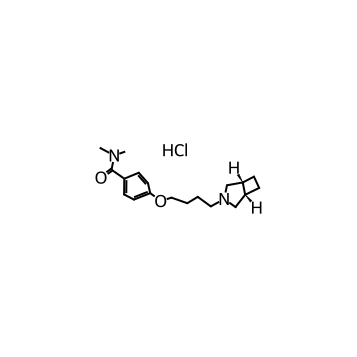 CN(C)C(=O)c1ccc(OCCCCN2C[C@H]3CC[C@H]3C2)cc1.Cl